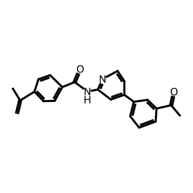 C=C(C)c1ccc(C(=O)Nc2cc(-c3cccc(C(C)=O)c3)ccn2)cc1